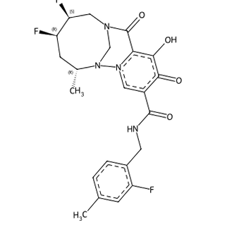 Cc1ccc(CNC(=O)c2cn3c(c(O)c2=O)C(=O)N2C[C@H](F)[C@H](F)C[C@@H](C)N3C2)c(F)c1